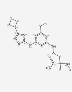 CCc1nc(NCCC(C)(NC)C(N)=O)cc(Nc2ncc(C3CCC3)s2)n1